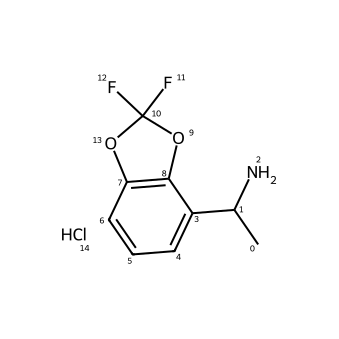 CC(N)c1cccc2c1OC(F)(F)O2.Cl